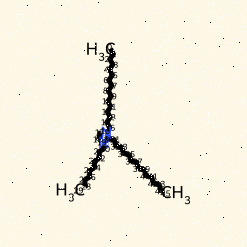 CCCCCCCCCCCCCCCCN1C=CN(CCCCCCCCCC)C1CCCCCCCCCCCCCCC